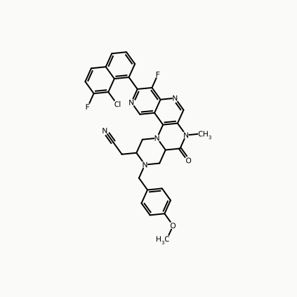 COc1ccc(CN2CC3C(=O)N(C)c4cnc5c(F)c(-c6cccc7ccc(F)c(Cl)c67)ncc5c4N3CC2CC#N)cc1